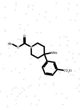 CCOC(=O)c1cccc(C2(NC)CCN(C(=O)OC(C)(C)C)CC2)c1